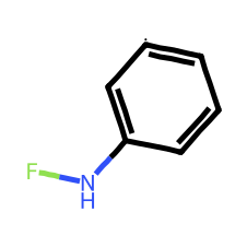 FNc1c[c]ccc1